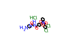 Cl.NC1CCN(C(=O)CNC(=O)c2ccc(S(=O)(=O)N(C(=O)c3ccc(Cl)cc3Cl)c3ccccc3)cc2)CC1